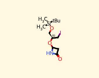 CC(C)(C)[Si](C)(C)OC[C@@H](CI)OC1CC(=O)N1